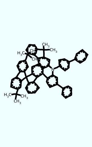 CC(C)(C)c1ccc2c(c1)C1(c3cc(C(C)(C)C)ccc3-2)c2ccccc2-c2c(-c3ccc(-c4ccccc4)cc3N(c3ccc(-c4ccccc4)cc3)c3ccc4c(c3)C(C)(C)c3ccccc3-4)cccc21